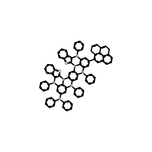 C1=CC2=CCc3cccc4cc(-c5cc6c7c(c5)N(c5ccccc5)c5c(oc8ccccc58)B7c5cc7c(cc5N6c5ccccc5)N(c5ccccc5)c5cc(N(c6ccccc6)c6ccccc6)cc6c5B7c5oc7ccccc7c5N6c5ccccc5)c(c2c34)C1